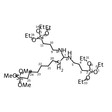 CCO[Si](CCCNC(NCCC[Si](OCC)(OCC)OCC)[SiH2]CCCCCC[Si](OC)(OC)OC)(OCC)OCC